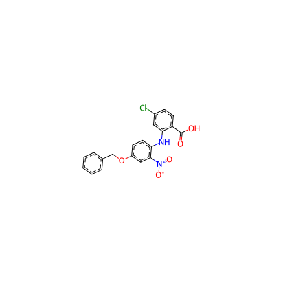 O=C(O)c1ccc(Cl)cc1Nc1ccc(OCc2ccccc2)cc1[N+](=O)[O-]